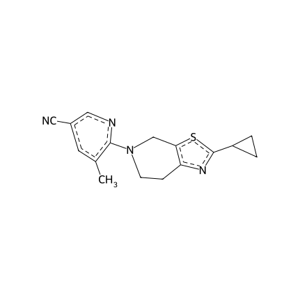 Cc1cc(C#N)cnc1N1CCc2nc(C3CC3)sc2C1